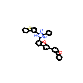 c1ccc(C2NC(c3ccc4sc5ccccc5c4c3)NC(c3cccc4c3oc3cc(-c5ccc6oc7ccccc7c6c5)ccc34)N2)cc1